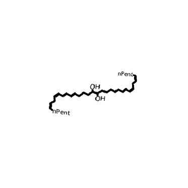 CCCCC/C=C\C/C=C\CCCCCCCC(O)C(O)CCCCCCC/C=C\C/C=C\CCCCC